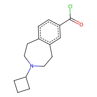 O=C(Cl)c1ccc2c(c1)CCN(C1CCC1)CC2